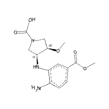 COC(=O)c1ccc(N)c(N[C@H]2CN(C(=O)O)C[C@H]2OC)c1